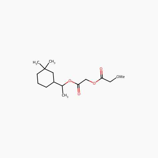 COCC(=O)OCC(=O)OC(C)C1CCCC(C)(C)C1